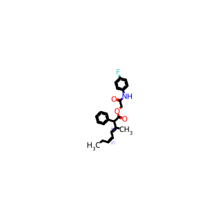 CC/C=C\C=C(/C)C(C(=O)OCC(=O)Nc1ccc(F)cc1)c1ccccc1